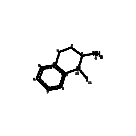 NC1CCc2ccccc2N1I